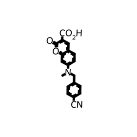 CN(Cc1ccc(C#N)cc1)c1ccc2cc(C(=O)O)c(=O)oc2c1